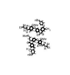 CCCCN1CCC(Oc2ccc(C(=O)N(CC)c3ccc(Oc4cc(F)c(NC(=O)NC(CC)CC)cc4OC)cc3)cc2C)CC1.CCCCN1CCC(Oc2ccc(C(=O)N(CCOC)c3ccc(Oc4cc(F)c(NC(=O)NC(CC)CC)cc4OC)cc3)cc2C)CC1